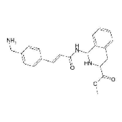 COC(=O)C1Cc2ccccc2C(NC(=O)C=Cc2ccc(CN)cc2)N1